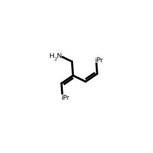 CC(C)/C=C\C(=C/C(C)C)CN